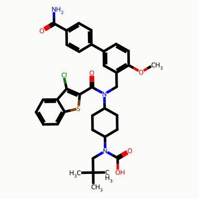 COc1ccc(-c2ccc(C(N)=O)cc2)cc1CN(C(=O)c1sc2ccccc2c1Cl)C1CCC(N(CC(C)(C)C)C(=O)O)CC1